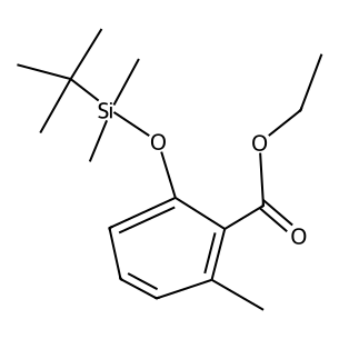 CCOC(=O)c1c(C)cccc1O[Si](C)(C)C(C)(C)C